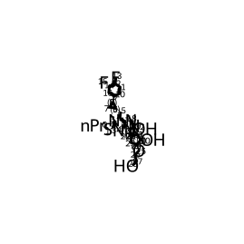 CCCSc1nc(C[C@@H]2C[C@H]2c2ccc(F)c(F)c2)c2nnn([C@]3(C)C[C@H](OCCO)[C@@H](O)[C@H]3O)c2n1